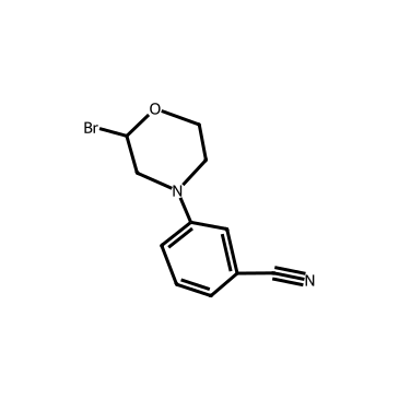 N#Cc1cccc(N2CCOC(Br)C2)c1